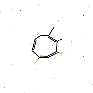 C/C1=C(\C)C(F)=C=C(F)/C=C\C1